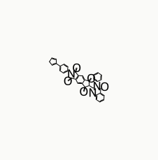 O=C1c2cc3c(cc2C(=O)C1c1nc2ccccc2c(=O)n1-c1ccccc1)C(=O)N(c1ccc(C2=CCC=C2)cc1)C3=O